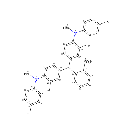 CCCCN(c1ccc(C)cc1)c1ccc(C(c2ccc(N(CCCC)c3ccc(C)cc3)c(C)c2)c2ccccc2S(=O)(=O)O)cc1C